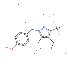 CCc1c(C(F)(F)F)nn(Cc2ccc(OC)cc2)c1C